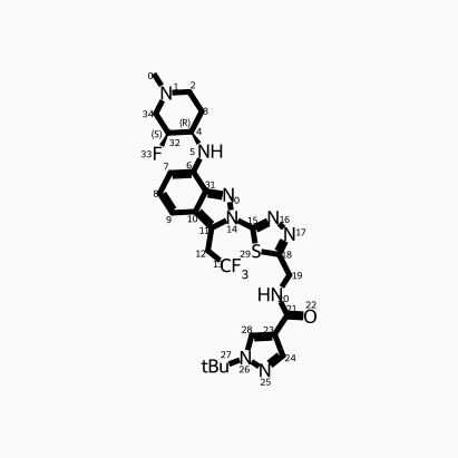 CN1CC[C@@H](Nc2cccc3c(CC(F)(F)F)n(-c4nnc(CNC(=O)c5cnn(C(C)(C)C)c5)s4)nc23)[C@@H](F)C1